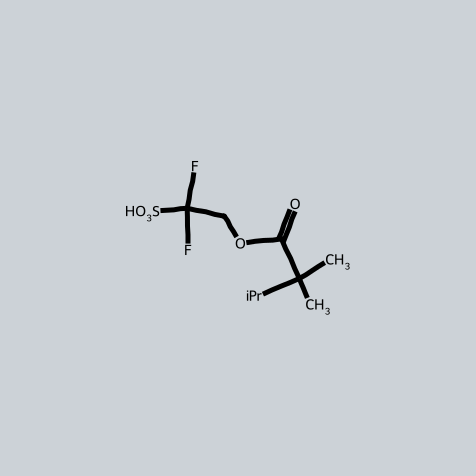 CC(C)C(C)(C)C(=O)OCC(F)(F)S(=O)(=O)O